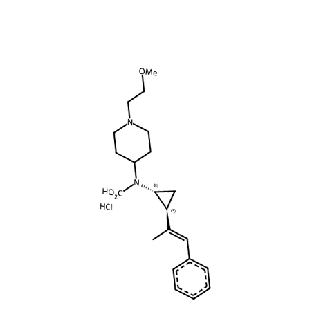 COCCN1CCC(N(C(=O)O)[C@@H]2C[C@H]2C(C)=Cc2ccccc2)CC1.Cl